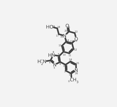 Cc1cc(-c2nc(N)[nH]c2-c2ccc3c(c2)N(CCO)C(=O)CO3)ccn1